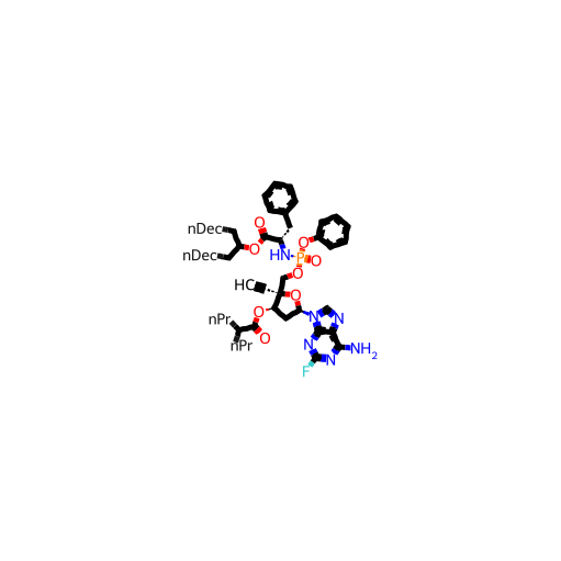 C#C[C@]1(CO[P@@](=O)(N[C@@H](Cc2ccccc2)C(=O)OC(CCCCCCCCCCC)CCCCCCCCCCC)Oc2ccccc2)O[C@@H](n2cnc3c(N)nc(F)nc32)C[C@@H]1OC(=O)C(CCC)CCC